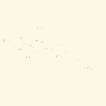 COc1cc(-c2ccc(OCCC=C(C)C)c(O)c2)c(OC)c(C(=O)O)c1-c1ccc(F)cc1